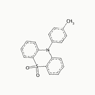 Cc1ccc(N2c3ccccc3S(=O)(=O)c3ccccc32)cc1